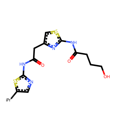 CC(C)c1cnc(NC(=O)Cc2csc(NC(=O)CCCO)n2)s1